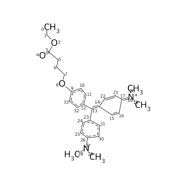 CCOC(=O)CCCOc1ccc(C(=C2C=CC(=[N+](C)C)C=C2)c2ccc(N(C)C)cc2)cc1